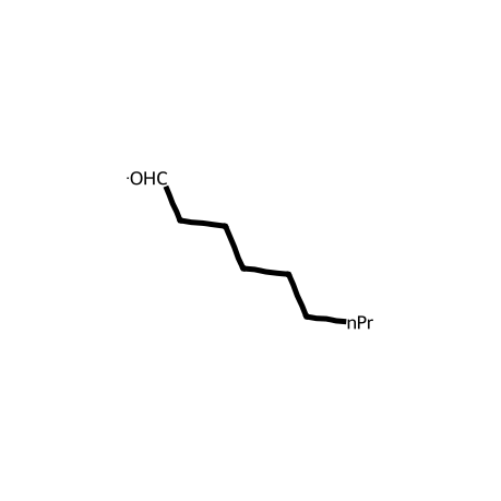 CCCCCCCC[C]=O